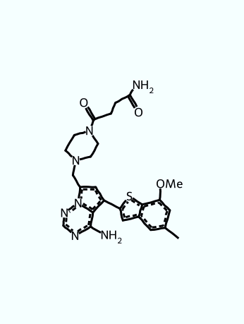 COc1cc(C)cc2cc(-c3cc(CN4CCN(C(=O)CCC(N)=O)CC4)n4ncnc(N)c34)sc12